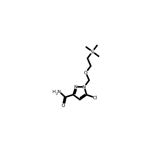 C[Si](C)(C)CCOCn1nc(C(N)=O)cc1Cl